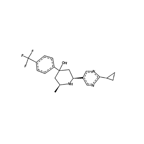 C[C@H]1CC(O)(c2ccc(C(F)(F)F)cc2)C[C@@H](c2cnc(C3CC3)nc2)N1